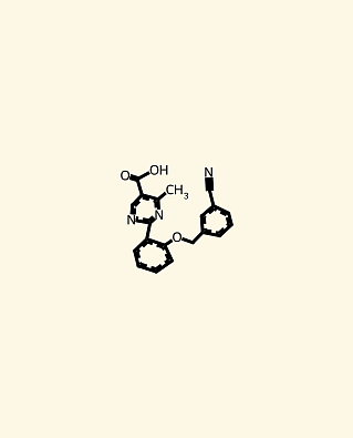 Cc1nc(-c2ccccc2OCc2cccc(C#N)c2)ncc1C(=O)O